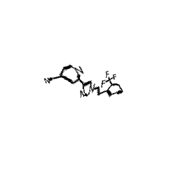 N#Cc1ccnc(-c2cn(CCc3ccccc3C(F)(F)F)cn2)c1